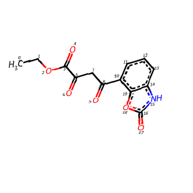 CCOC(=O)C(=O)CC(=O)c1cccc2[nH]c(=O)oc12